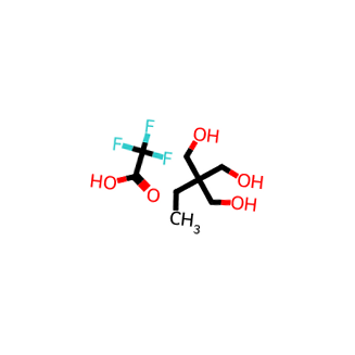 CCC(CO)(CO)CO.O=C(O)C(F)(F)F